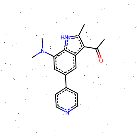 CC(=O)c1c(C)[nH]c2c(N(C)C)cc(-c3ccncc3)cc12